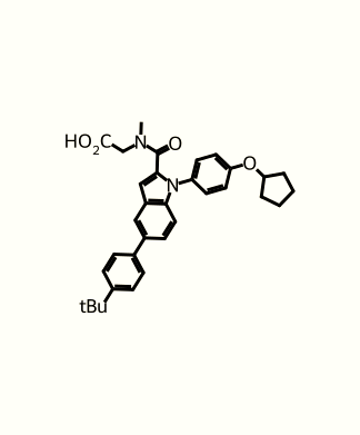 CN(CC(=O)O)C(=O)c1cc2cc(-c3ccc(C(C)(C)C)cc3)ccc2n1-c1ccc(OC2CCCC2)cc1